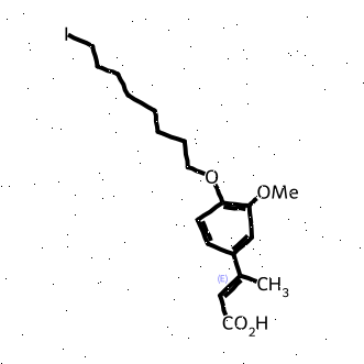 COc1cc(/C(C)=C/C(=O)O)ccc1OCCCCCCCCI